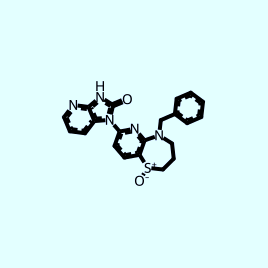 O=c1[nH]c2ncccc2n1-c1ccc2c(n1)N(Cc1ccccc1)CCC[S+]2[O-]